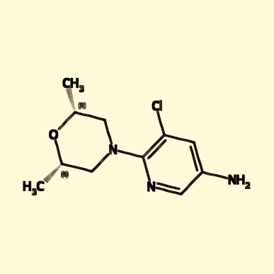 C[C@@H]1CN(c2ncc(N)cc2Cl)C[C@H](C)O1